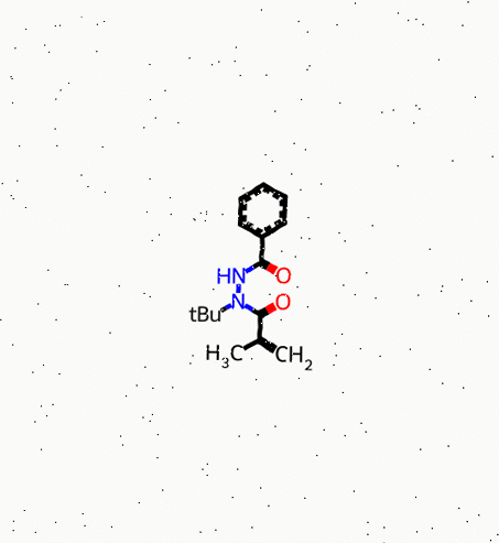 C=C(C)C(=O)N(NC(=O)c1ccccc1)C(C)(C)C